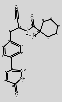 N#CC(Cc1ccc(-c2ccc(=O)[nH]n2)cc1)NC(=O)C1(N)CCCCC1